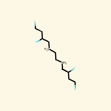 FCCC(F)C[SiH2]CC[SiH2]CC(F)CCF